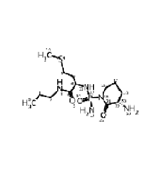 CCCNC(=O)C(CCSC)NP(N)(=O)N1CCC[C@H](N)C1=O